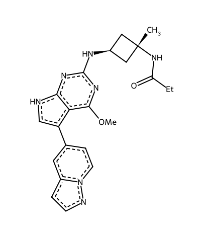 CCC(=O)N[C@]1(C)C[C@@H](Nc2nc(OC)c3c(-c4ccn5nccc5c4)c[nH]c3n2)C1